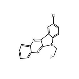 CC(C)Cn1c2ccc(Cl)cc2c2nc3ccccc3nc21